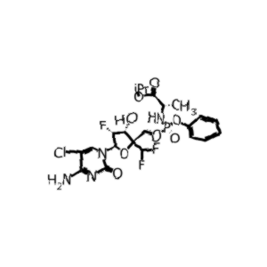 CC(C)OC(=O)[C@H](C)NP(=O)(OC[C@@]1(C(F)F)O[C@@H](n2cc(Cl)c(N)nc2=O)[C@H](F)[C@@H]1O)Oc1ccccc1